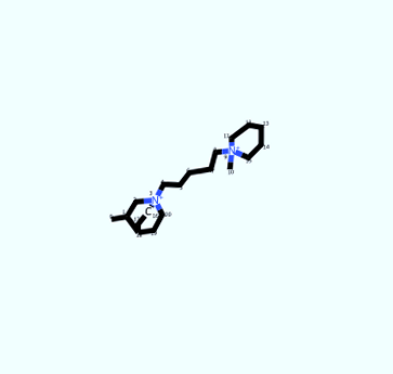 CC1C[N+]2(CCCCC[N+]3(C)CCCCC3)CCC1CC2